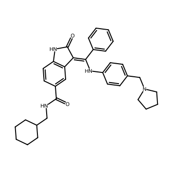 O=C1Nc2ccc(C(=O)NCC3CCCCC3)cc2C1=C(Nc1ccc(CN2CCCC2)cc1)c1ccccc1